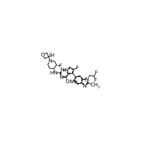 [2H]C1(N2CC[C@H](Nc3nc(OC)c4c(-c5ccc6nc(C)n(CC(F)F)c6c5)c(F)cn4n3)[C@H](F)C2)COC1